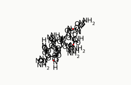 Cc1cn(C2CN(P(=O)(OCC3CN(C)CC(n4ccc(N)nc4=O)O3)N(C)C)CC(COP(=O)(N(C)C)N3CC(COP(=O)(N(C)C)N4CC(COP(=O)(N5CCNCC5)N5CC(COP(C)(=O)N6CCNCC6)OC(n6cnc7c(N)ncnc76)C5)OC(n5cnc6c(N)ncnc65)C4)OC(n4cnc5c4N=C(N)NC5N)C3)O2)c(=O)[nH]c1=O